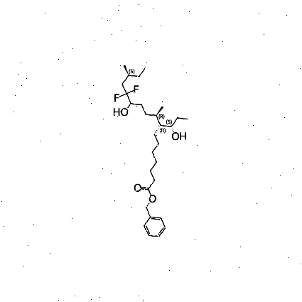 CC[C@H](C)CC(F)(F)C(O)CC[C@@H](C)[C@@H](CCCCCCC(=O)OCc1ccccc1)[C@@H](O)CC